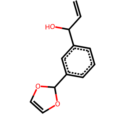 C=CC(O)c1cccc(C2OC=CO2)c1